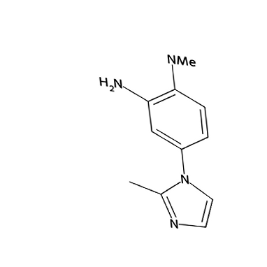 CNc1ccc(-n2ccnc2C)cc1N